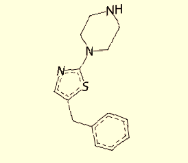 c1ccc(Cc2cnc(N3CCNCC3)s2)cc1